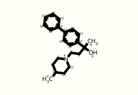 CC1CCN(CCC(C)(O)c2ccc(-c3ccccc3)cc2)CC1